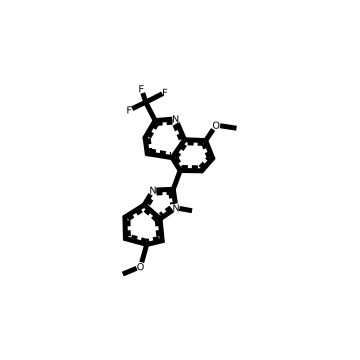 COc1ccc2nc(-c3ccc(OC)c4nc(C(F)(F)F)ccc34)n(C)c2c1